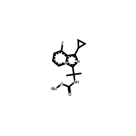 CC(C)(C)OC(=O)NC(C)(C)c1nc(C2CC2)c2c(F)cccn12